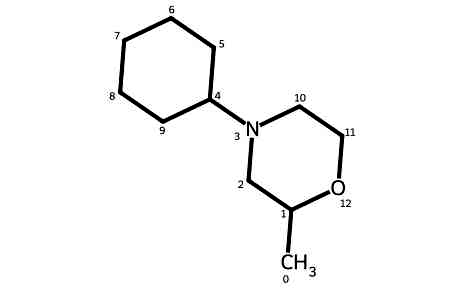 CC1CN(C2CCCCC2)CCO1